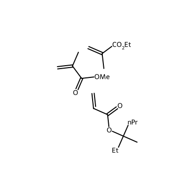 C=C(C)C(=O)OC.C=C(C)C(=O)OCC.C=CC(=O)OC(C)(CC)CCC